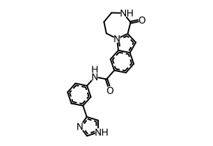 O=C(Nc1cccc(-c2c[nH]cn2)c1)c1ccc2cc3n(c2c1)CCCNC3=O